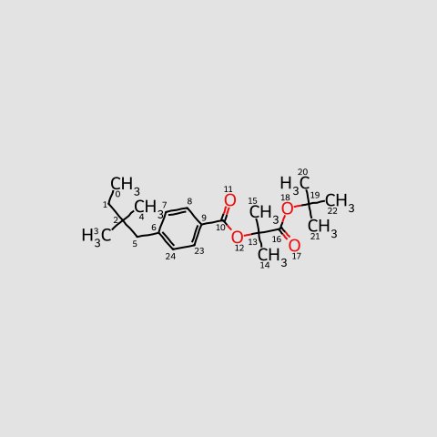 CCC(C)(C)Cc1ccc(C(=O)OC(C)(C)C(=O)OC(C)(C)C)cc1